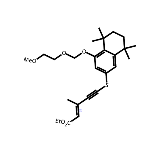 CCOC(=O)/C=C(\C)C#CSc1cc(OCOCCOC)c2c(c1)C(C)(C)CCC2(C)C